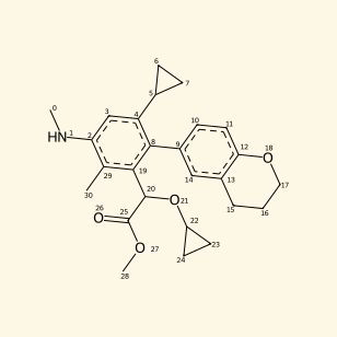 CNc1cc(C2CC2)c(-c2ccc3c(c2)CCCO3)c(C(OC2CC2)C(=O)OC)c1C